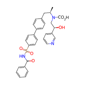 C[C@H](Cc1ccc(-c2ccc(S(=O)(=O)NC(=O)c3ccccc3)cc2)cc1)N(C[C@@H](O)c1cccnc1)C(=O)O